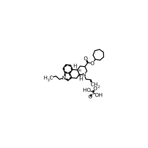 C=CCN1CC(C(=O)OC2CCCCCC2)C[C@@H]2c3cccc4c3c(cn4CCC)C[C@H]21.O=S(=O)(O)O